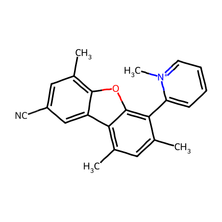 Cc1cc(C)c2c(oc3c(C)cc(C#N)cc32)c1-c1cccc[n+]1C